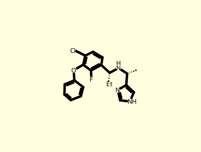 CC[C@@H](N[C@H](C)c1c[nH]cn1)c1ccc(Cl)c(Oc2ccccc2)c1F